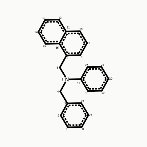 c1ccc(CN(Cc2cccc3ccccc23)c2ccccc2)cc1